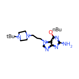 CCCCOc1nc(N)nc2ncn(CCCN3CCN(C(C)(C)C)CC3)c12